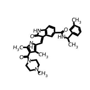 Cc1cccc(C(C)NC(=O)c2ccc3c(c2)C(=Cc2[nH]c(C)c(C(=O)N4CCN(C)CC4)c2C)C(=O)N3)c1